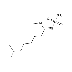 CN/C(=N\S(N)(=O)=O)NCCCCC(C)C